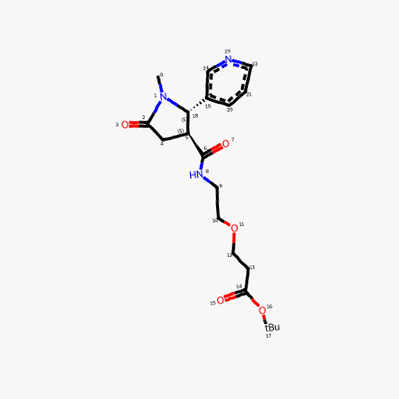 CN1C(=O)C[C@H](C(=O)NCCOCCC(=O)OC(C)(C)C)[C@H]1c1cccnc1